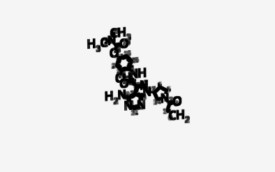 C=CC(=O)N1CC[C@@H](n2nc(C(=O)Nc3ccc(OC(=O)N(C)C)cc3C)c3c(N)ncnc32)C1